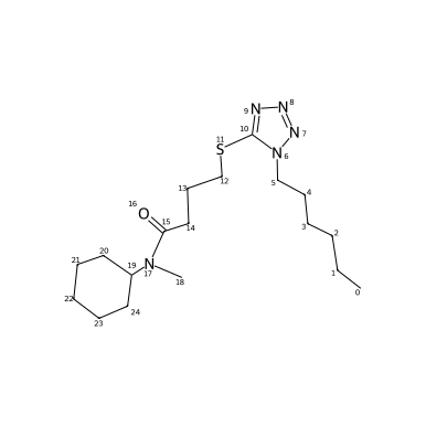 CCCCCCn1nnnc1SCCCC(=O)N(C)C1CCCCC1